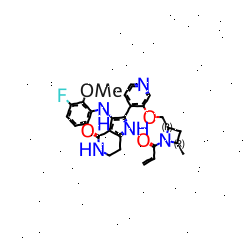 C=CC(=O)N1[C@@H](COc2cnccc2-c2[nH]c3c(c2Nc2cccc(F)c2OC)C(=O)NCC3)C[C@H]1C